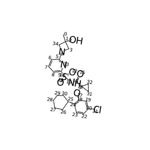 CC1(O)CN(c2cccc(S(=O)(=O)NC(=O)C3(Oc4cc(Cl)ccc4C4CCCCC4)CC3)n2)C1